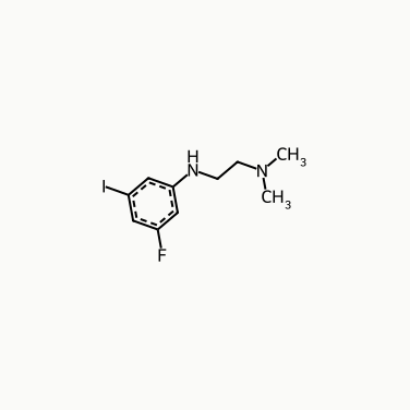 CN(C)CCNc1cc(F)cc(I)c1